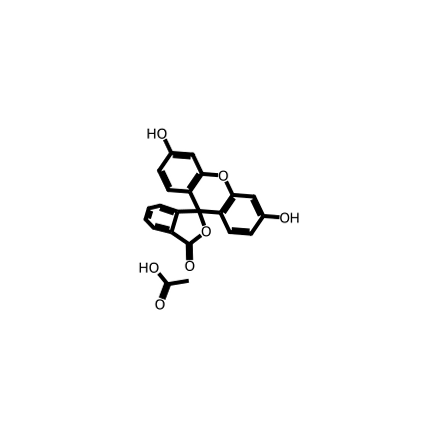 CC(=O)O.O=C1OC2(c3ccc(O)cc3Oc3cc(O)ccc32)c2ccccc21